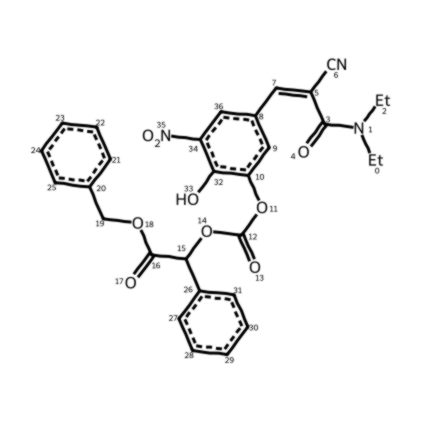 CCN(CC)C(=O)C(C#N)=Cc1cc(OC(=O)OC(C(=O)OCc2ccccc2)c2ccccc2)c(O)c([N+](=O)[O-])c1